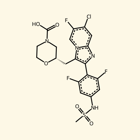 CS(=O)(=O)Nc1cc(F)c(-c2nc3cc(Cl)c(F)cn3c2C[C@H]2CN(C(=O)O)CCO2)c(F)c1